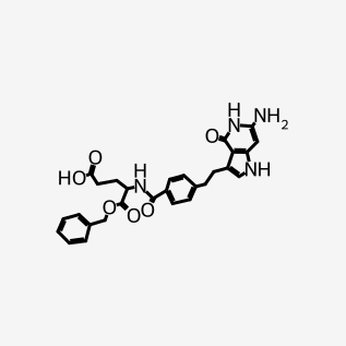 Nc1cc2[nH]cc(CCc3ccc(C(=O)NC(CCC(=O)O)C(=O)OCc4ccccc4)cc3)c2c(=O)[nH]1